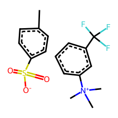 C[N+](C)(C)c1cccc(C(F)(F)F)c1.Cc1ccc(S(=O)(=O)[O-])cc1